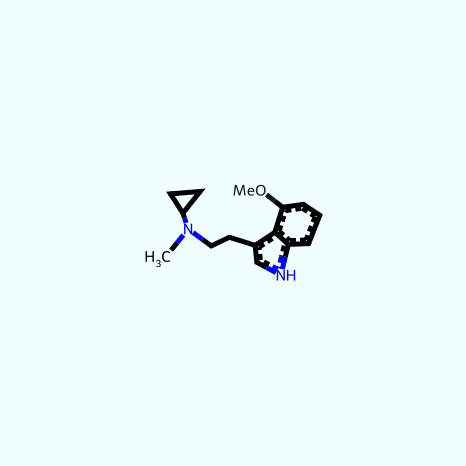 COc1cccc2[nH]cc(CCN(C)C3CC3)c12